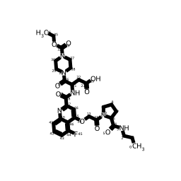 CCCNC(=O)C1CCCN1C(=O)COc1cc(C(=O)NC(CC(=O)O)C(=O)N2CCN(C(=O)OCC)CC2)nc2cccc(F)c12